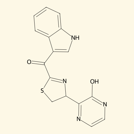 O=C(C1=NC(c2nccnc2O)CS1)c1c[nH]c2ccccc12